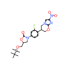 CC(C)(C)[Si](C)(C)OCC1CN(c2ccc(C3COc4nc([N+](=O)[O-])cn4C3)c(F)c2)C(=O)O1